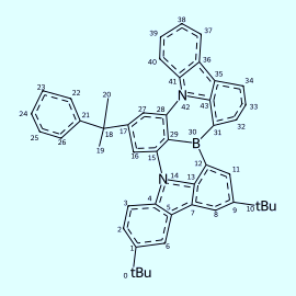 CC(C)(C)c1ccc2c(c1)c1cc(C(C)(C)C)cc3c1n2-c1cc(C(C)(C)c2ccccc2)cc2c1B3c1cccc3c4ccccc4n-2c13